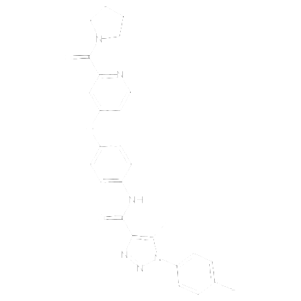 Cc1c(C(=O)Nc2ccc(Oc3ccnc(C(=O)N4CCCC4)c3)cc2)nnn1-c1ccc(F)cc1